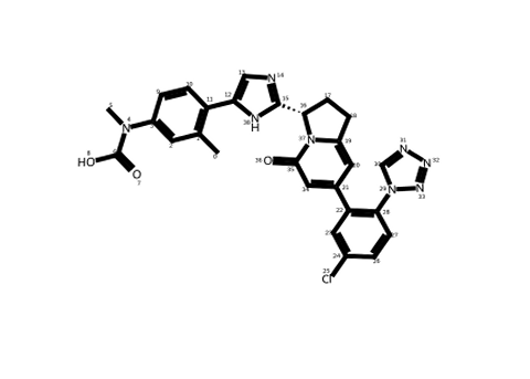 Cc1cc(N(C)C(=O)O)ccc1-c1cnc([C@@H]2CCc3cc(-c4cc(Cl)ccc4-n4cnnn4)cc(=O)n32)[nH]1